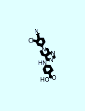 N#Cc1ccc(N2C=Cc3c(ncnc3Nc3ccc(C(=O)O)cc3)C2)cc1Cl